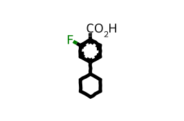 O=C(O)c1ccc(C2CCCCC2)cc1F